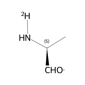 [2H]N[C@@H](C)[C]=O